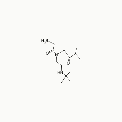 BCC(=O)N(CCNC(C)(C)C)CC(=O)C(C)C